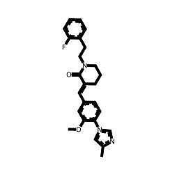 COc1cc(/C=C2\CCCN(CCc3ccccc3F)C2=O)ccc1-n1cnc(C)c1